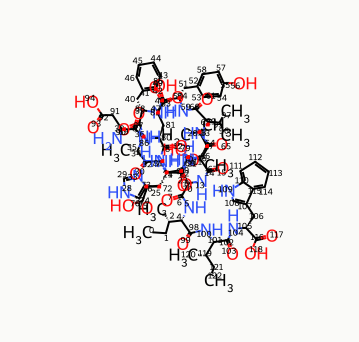 CC[C@H](C)[C@H](NC(=O)[C@H](CC(=O)O)NC(=O)[C@H](CC(C)C)NC(=O)[C@H](Cc1c[nH]cn1)NC(=O)[C@H](C)NC(=O)[C@H](Cc1ccccc1)NC(=O)[C@H](Cc1ccc(O)cc1)NC(=O)[C@@H](NC(=O)[C@H](C)NC(=O)[C@H](CCC(=O)O)NC(=O)[C@H](CCC(=O)O)NC(=O)[C@@H](N)CC(=O)O)C(C)C)C(=O)N[C@H](C(=O)N[C@@H](Cc1c[nH]c2ccccc12)C(=O)O)[C@@H](C)CC